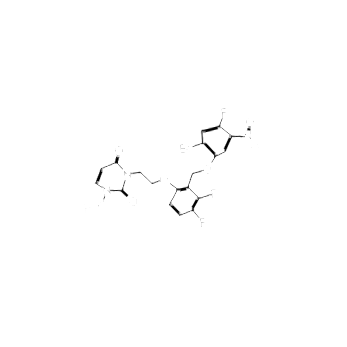 Cn1ccc(=O)n(CCOc2ccc(F)c(F)c2COc2cc([N+](=O)[O-])c(F)cc2Br)c1=O